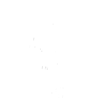 Cc1cc(OCc2ccccc2)ccc1-c1c(C)c(C(=O)Nc2ccc(S(C)(=O)=O)cc2)cn1C